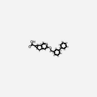 O=C(O)C1C2Cc3cc(OCc4cccc(-c5ccccc5)c4)ncc3C21